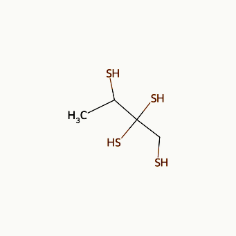 CC(S)C(S)(S)CS